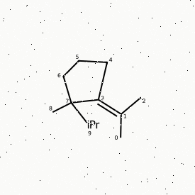 CC(C)=C1CCCC1(C)C(C)C